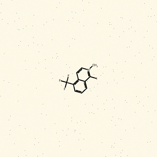 C[n+]1ccc2c(C(F)(F)F)cccc2c1I